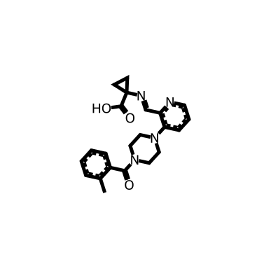 Cc1ccccc1C(=O)N1CCN(c2cccnc2C=NC2(C(=O)O)CC2)CC1